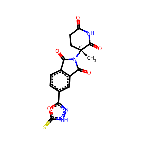 C[C@@]1(N2C(=O)c3ccc(-c4n[nH]c(=S)o4)cc3C2=O)CCC(=O)NC1=O